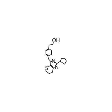 OCCc1ccc(Cc2nc(C3CCCC3)nc3c2SCCC3)cc1